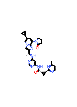 Cc1ccnc([C@H]2C[C@@H]2C(=O)Nc2cc(N[C@H](C)c3cn4cc(C5CC5)cc(N5CCCC5=O)c4n3)ncn2)n1